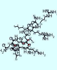 CCCC[C@H](NC(=O)[C@@H](NC(=O)[C@H](CC(=O)O)NC(=O)[C@H](CCC(N)=O)NC(=O)[C@H](CC(C)C)NC(=O)[C@H](CC(C)C)NC(=O)[C@@H](N)CCCN)[C@@H](C)CC)C(=O)N[C@H](CCCNC(=N)N)C(=O)N[C@@H](CCCCNC(=N)N)C(=O)NC